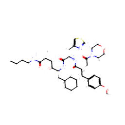 CCCCNC(=O)[C@H](C)C[C@H](O)[C@H](CC1CCCCC1)NC(=O)[C@H](Cc1cscn1)NC(=O)[C@@H](CC(=O)N1CCOCC1)Cc1ccc(OC)cc1